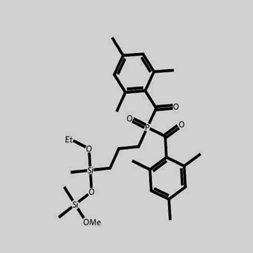 CCO[Si](C)(CCCP(=O)(C(=O)c1c(C)cc(C)cc1C)C(=O)c1c(C)cc(C)cc1C)O[Si](C)(C)OC